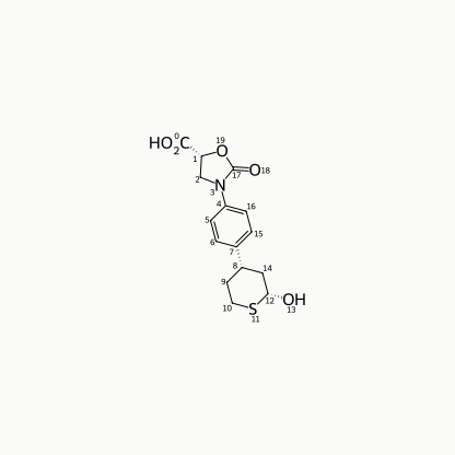 O=C(O)[C@H]1CN(c2ccc([C@H]3CCS[C@@H](O)C3)cc2)C(=O)O1